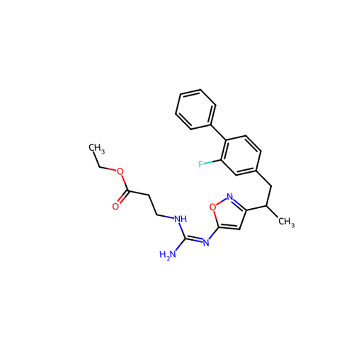 CCOC(=O)CCNC(N)=Nc1cc(C(C)Cc2ccc(-c3ccccc3)c(F)c2)no1